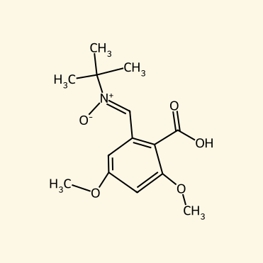 COc1cc(C=[N+]([O-])C(C)(C)C)c(C(=O)O)c(OC)c1